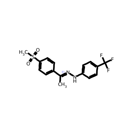 C/C(=N\Nc1ccc(C(F)(F)F)cc1)c1ccc(S(C)(=O)=O)cc1